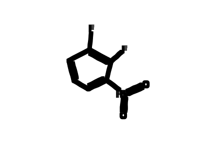 O=[SH](=O)c1cccc(F)c1F